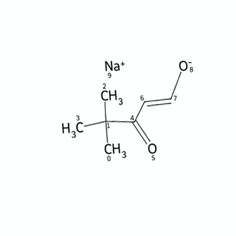 CC(C)(C)C(=O)/C=C/[O-].[Na+]